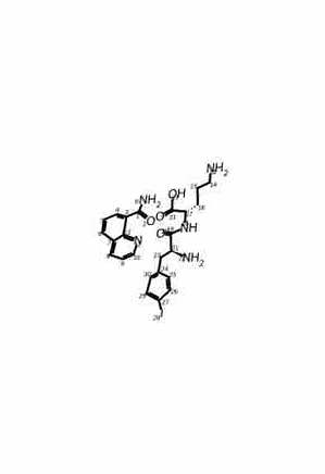 NC(=O)c1cccc2cccnc12.NCCC[C@H](NC(=O)[C@@H](N)Cc1ccc(I)cc1)C(=O)O